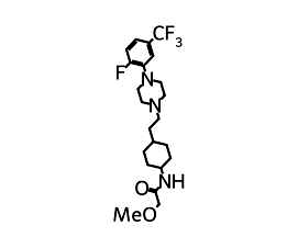 COCC(=O)NC1CCC(CCN2CCN(c3cc(C(F)(F)F)ccc3F)CC2)CC1